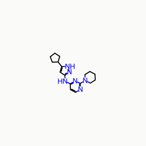 c1cc(Nc2cc(C3CCCC3)[nH]n2)nc(N2CCCCC2)n1